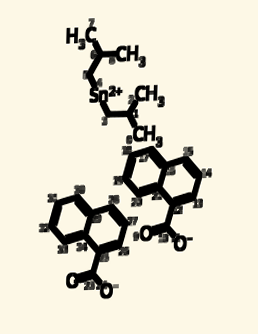 CC(C)[CH2][Sn+2][CH2]C(C)C.O=C([O-])c1cccc2ccccc12.O=C([O-])c1cccc2ccccc12